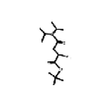 CC(C)N(C(=O)CC(N)C(=O)OC(C)(C)C)C(C)C